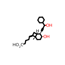 C[C@]12CC[C@@H](O)[C@H](C#CC(O)C3CCCCC3)[C@H]1C/C2=C/CCCC(=O)O